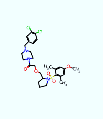 COc1cc(C)c(S(=O)(=O)N2CCCC2COCC(=O)N2CCN(Cc3ccc(Cl)c(Cl)c3)CC2)c(C)c1